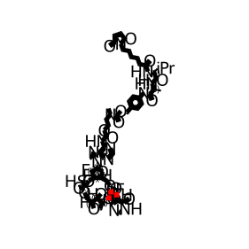 CC(C)[C@H](NC(=O)CCCCCN1C(=O)C=CC1=O)C(=O)N[C@@H](C)C(=O)Nc1ccc(COC(=O)N(C)CCOC(=O)Nc2ncnc3c2ncn3[C@@H]2O[C@@H]3CO[P@@](=O)(S)O[C@]4(n5cc(F)c6c(=O)[nH]cnc65)CO[C@H](CO[P@@](=O)(S)O[C@H]3[C@H]2F)[C@H]4O)cc1